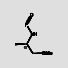 COC[C@H](C)NP=O